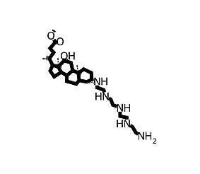 COC(=O)CC[C@@H](C)C1CCC2C3CCC4C[C@@H](NCCNCCNCCNCCN)CC[C@]4(C)C3C[C@H](O)[C@@]21C